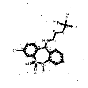 CN1c2ccccc2C(NCCCC(F)(F)F)c2ccc(Cl)cc2S1(=O)=O